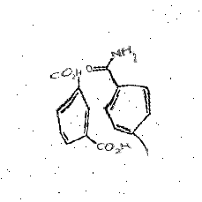 NC(=O)c1ccc(I)cc1.O=C(O)c1cccc(C(=O)O)c1